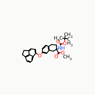 COC(=O)C1(NC(=O)OC(C)(C)C)CCc2ccc(Oc3ccc4c5c(cccc35)CC4)cc2C1